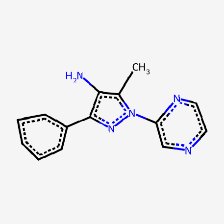 Cc1c(N)c(-c2ccccc2)nn1-c1cnccn1